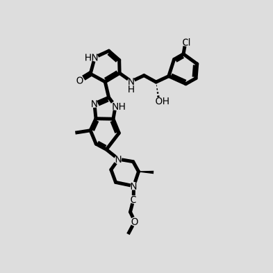 COCCN1CCN(c2cc(C)c3nc(-c4c(NC[C@@H](O)c5cccc(Cl)c5)cc[nH]c4=O)[nH]c3c2)C[C@H]1C